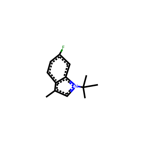 Cc1cn(C(C)(C)C)c2cc(F)ccc12